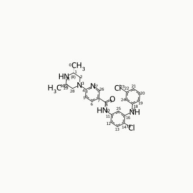 C[C@@H]1CN(c2ccc(C(=O)Nc3ccc(Cl)c(Nc4cccc(Cl)c4)c3)cn2)C[C@H](C)N1